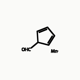 O=CC1C=CC=C1.[Mn]